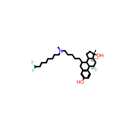 CN(CCCCCCCC(F)F)CCCCCC1Cc2cc(O)ccc2C2C1C1CC[C@](C)(O)[C@@]1(C)C[C@@H]2F